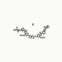 COc1cc(C=CC(=O)C=C(O)C=Cc2ccc(OC(=O)c3ccc[n+](COC(=O)NC(C)C)c3)c(OC)c2)ccc1OC(=O)c1ccc[n+](COC(=O)NC(C)C)c1.[I-].[I-]